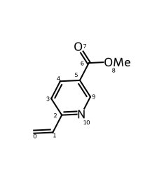 C=Cc1ccc(C(=O)OC)cn1